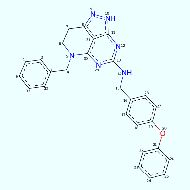 c1ccc(CN2CCc3n[nH]c4nc(NCc5ccc(Oc6ccccc6)cc5)nc2c34)cc1